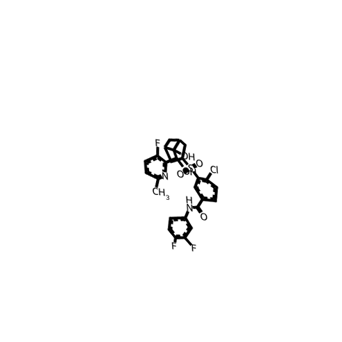 Cc1ccc(F)c(C(O)C2(O)C3CC2CC(S(=O)(=O)c2cc(C(=O)Nc4ccc(F)c(F)c4)ccc2Cl)C3)n1